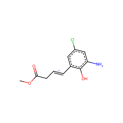 COC(=O)C/C=C/c1cc(Cl)cc(N)c1O